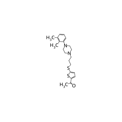 CC(=O)c1ccc(SCCCN2CCN(c3cccc(C)c3C)CC2)s1